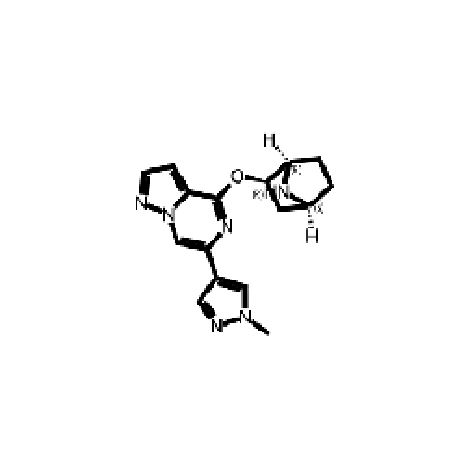 Cn1cc(-c2cn3nccc3c(O[C@@H]3C[C@@H]4CC[C@H]3N4)n2)cn1